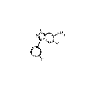 Cn1nc(-c2cccc(F)c2)c2cc(F)c(N)cc21